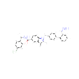 Cc1c(C)n(Cc2ccc(-c3ccccc3C=N)cc2)c2ccc(C(=O)N[C@@H](C)c3ccc(Br)cc3)cc12